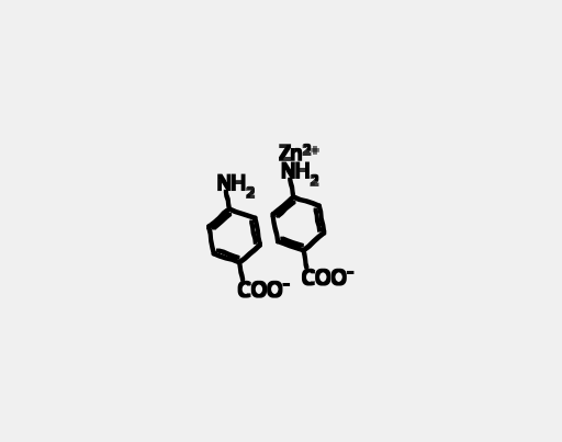 Nc1ccc(C(=O)[O-])cc1.Nc1ccc(C(=O)[O-])cc1.[Zn+2]